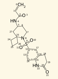 C=CC(=O)NC1CCN(S(=O)(=O)c2ccc3c(c2)CCC(=O)N3)C2(CCC2)C1